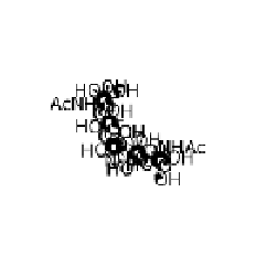 CC(=O)N[C@@H]1[C@@H](O[C@@H]2O[C@H](CO)[C@H](O[C@H]3O[C@H](CO)[C@@H](O[C@@H]4O[C@@H](C)[C@H](O)[C@@H](O[C@@H]5O[C@H](CO)[C@H](O)[C@H](O)[C@H]5NC(C)=O)[C@H]4O)[C@H](O)[C@H]3NC(C)=O)[C@H](O)[C@H]2O)[C@@H](O)[C@@H](CO)O[C@@H]1O